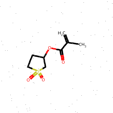 C=C(C)C(=O)OC1CCS(=O)(=O)C1